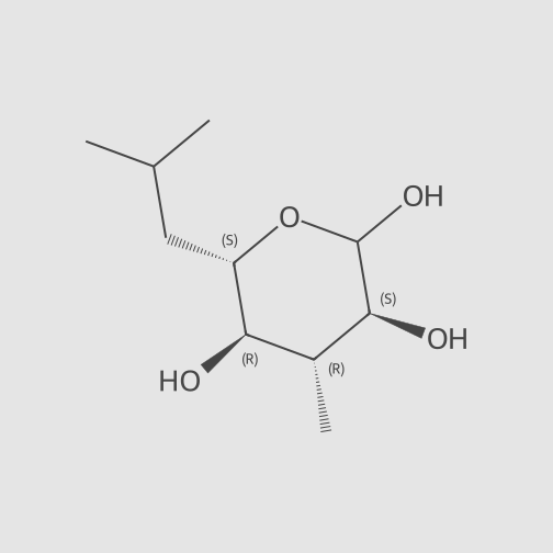 CC(C)C[C@@H]1OC(O)[C@@H](O)[C@H](C)[C@H]1O